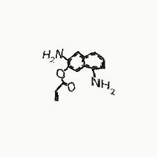 C=CC(=O)Oc1cc2c(N)cccc2cc1N